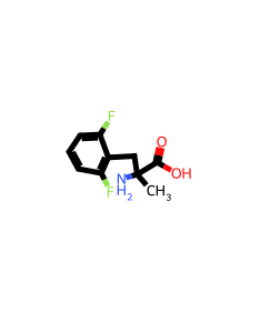 CC(N)(Cc1c(F)cccc1F)C(=O)O